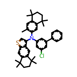 Cc1cc2c(cc1N(c1cc(Cl)cc(-c3ccccc3)c1)c1csc3cc4c(cc13)C(C)(C)CCC4(C)C)C(C)(C)CCC2(C)C